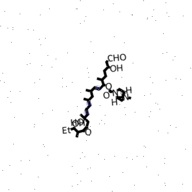 CCC(O)C(C)C1OC1CC(C)(O)/C=C/C=C(\C)CC(C)/C=C/C(OC(=O)N1C[C@@H]2C[C@H]1CN2C)C(C)CCC(O)CC=O